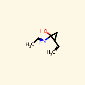 C=CC1CC1(O)/N=C/C